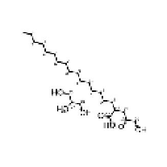 CCCCCCCCCCCCCCCCC(CC(O)CO)C(=O)O.OCC(O)CO